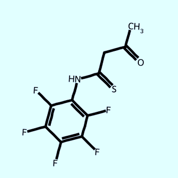 CC(=O)CC(=S)Nc1c(F)c(F)c(F)c(F)c1F